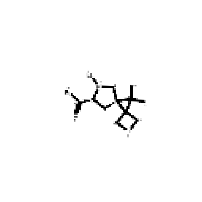 CCC(=O)[C@@H]1C[C@@]2(CN1CC)C(C)(C)C21COC1